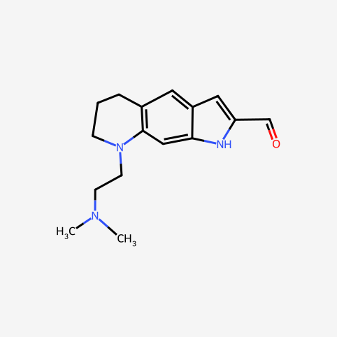 CN(C)CCN1CCCc2cc3cc(C=O)[nH]c3cc21